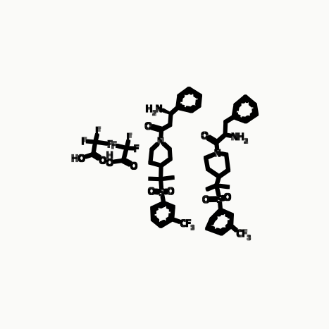 CC(C)(C1CCN(C(=O)C(N)Cc2ccccc2)CC1)S(=O)(=O)c1cccc(C(F)(F)F)c1.CC(C)(C1CCN(C(=O)C[C@@H](N)c2ccccc2)CC1)S(=O)(=O)c1cccc(C(F)(F)F)c1.O=C(O)C(F)(F)F.O=C(O)C(F)(F)F